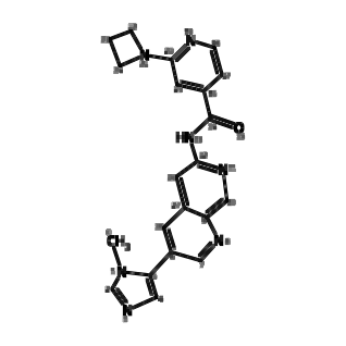 Cn1cncc1-c1cnc2cnc(NC(=O)c3ccnc(N4CCC4)c3)cc2c1